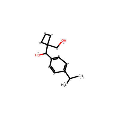 CC(C)c1ccc(C(O)C2(CO)CCC2)cc1